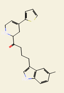 O=C(CCCc1c[nH]c2ccc(C(F)(F)F)cc12)C1CC(c2cccs2)=CCN1